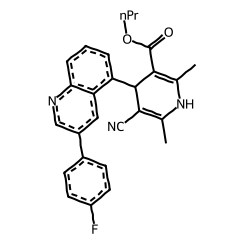 CCCOC(=O)C1=C(C)NC(C)=C(C#N)C1c1cccc2ncc(-c3ccc(F)cc3)cc12